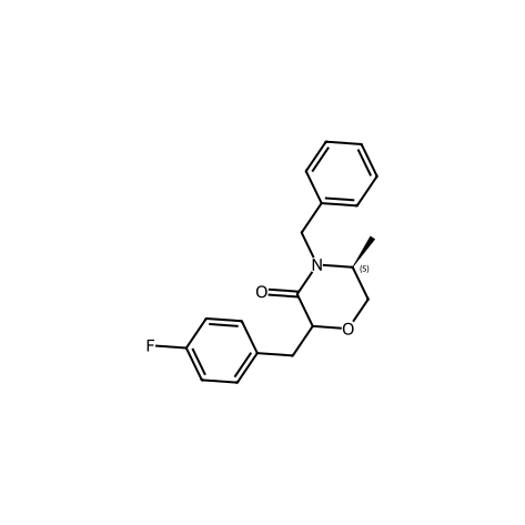 C[C@H]1COC(Cc2ccc(F)cc2)C(=O)N1Cc1ccccc1